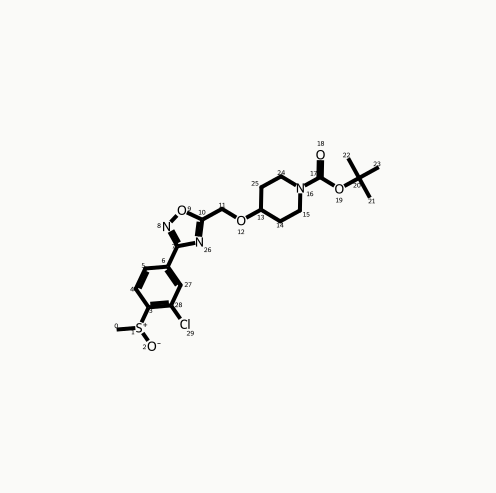 C[S+]([O-])c1ccc(-c2noc(COC3CCN(C(=O)OC(C)(C)C)CC3)n2)cc1Cl